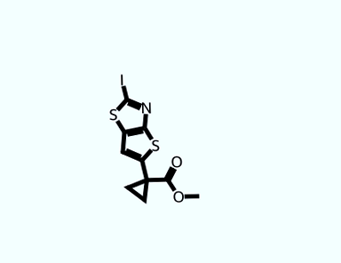 COC(=O)C1(c2cc3sc(I)nc3s2)CC1